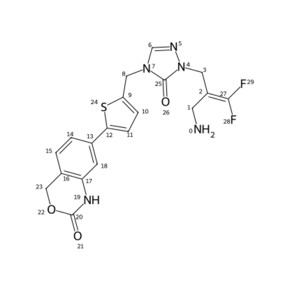 NCC(Cn1ncn(Cc2ccc(-c3ccc4c(c3)NC(=O)OC4)s2)c1=O)=C(F)F